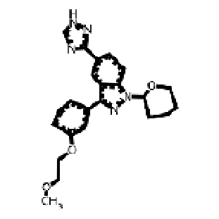 COCCOc1cccc(-c2nn(C3CCCCO3)c3ccc(-c4nc[nH]n4)cc23)c1